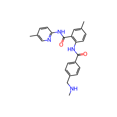 CNCc1ccc(C(=O)Nc2ccc(C)cc2C(=O)Nc2ccc(C)cn2)cc1